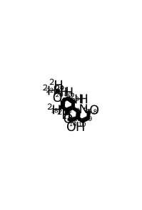 [2H]c1c([2H])c(-c2[nH]c(=O)ccc2C(=O)O)c([2H])c([2H])c1OC([2H])([2H])[2H]